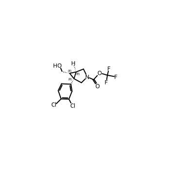 O=C(OC(F)(F)F)N1C[C@@H]2[C@@H](CO)[C@]2(c2ccc(Cl)c(Cl)c2)C1